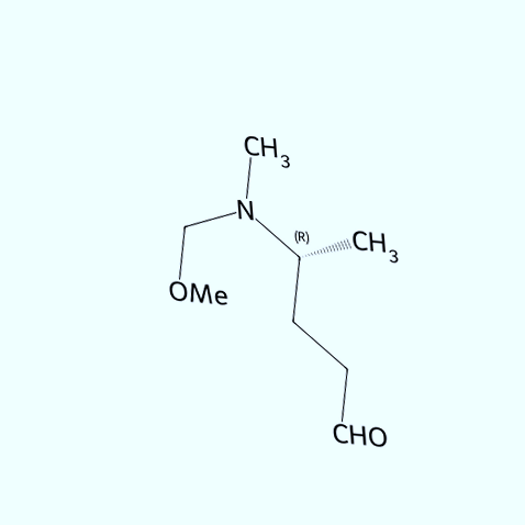 COCN(C)[C@H](C)CCC=O